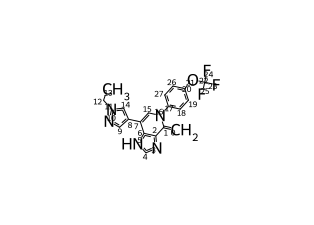 C=C1c2nc[nH]c2C(c2cnn(CC)c2)=CN1c1ccc(OC(F)(F)F)cc1